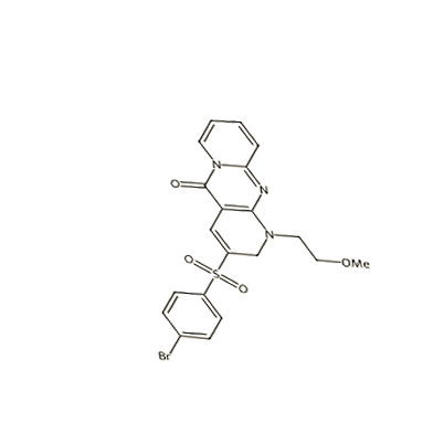 COCCN1CC(S(=O)(=O)c2ccc(Br)cc2)=Cc2c1nc1ccccn1c2=O